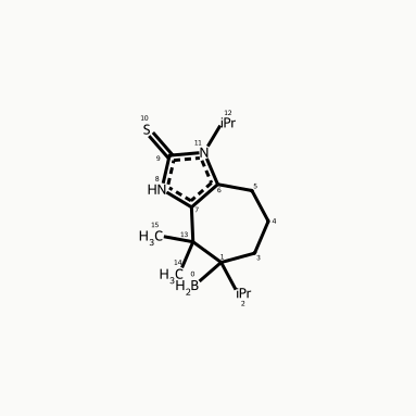 BC1(C(C)C)CCCc2c([nH]c(=S)n2C(C)C)C1(C)C